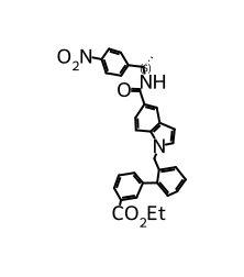 CCOC(=O)c1cccc(-c2ccccc2Cn2ccc3cc(C(=O)N[C@@H](C)c4ccc([N+](=O)[O-])cc4)ccc32)c1